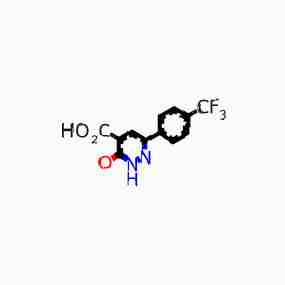 O=C(O)c1cc(-c2ccc(C(F)(F)F)cc2)n[nH]c1=O